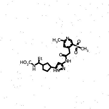 CCC(NC(=O)O)C1CCC(c2cc(NC(=O)Cc3cc(C)ncc3S(C)(=O)=O)n[nH]2)C1